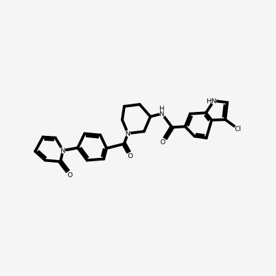 O=C(NC1CCCN(C(=O)c2ccc(-n3ccccc3=O)cc2)C1)c1ccc2c(Cl)c[nH]c2c1